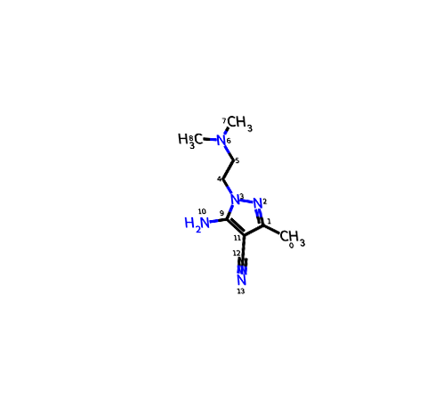 Cc1nn(CCN(C)C)c(N)c1C#N